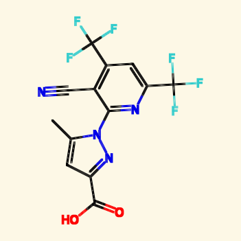 Cc1cc(C(=O)O)nn1-c1nc(C(F)(F)F)cc(C(F)(F)F)c1C#N